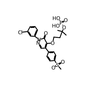 CC(C)(CCOc1c(-c2ccc(S(C)(=O)=O)cc2)cnn(-c2cccc(Cl)c2)c1=O)OP(=O)(O)O